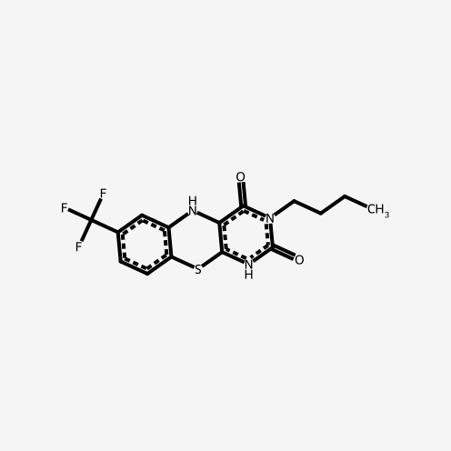 CCCCn1c(=O)[nH]c2c(c1=O)Nc1cc(C(F)(F)F)ccc1S2